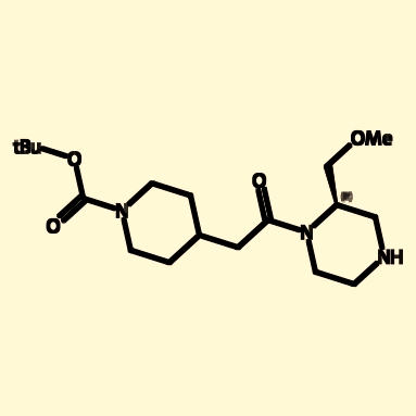 COC[C@H]1CNCCN1C(=O)CC1CCN(C(=O)OC(C)(C)C)CC1